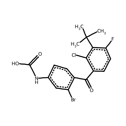 CC(C)(C)c1c(F)ccc(C(=O)c2ccc(NC(=O)O)cc2Br)c1Cl